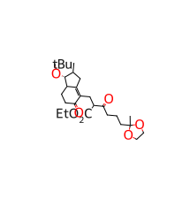 CCOC(=O)C(CC1=C2CC(C)[C@@H](OC(C)(C)C)C2CCC1=O)C(=O)CCCC1(C)OCCO1